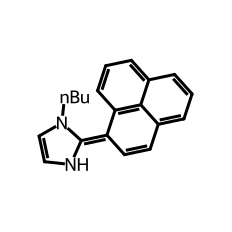 CCCCN1C=CNC1=c1ccc2cccc3cccc1c32